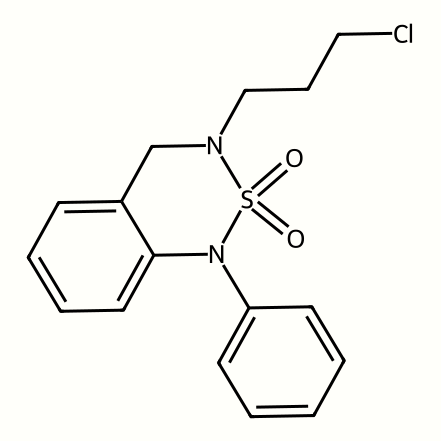 O=S1(=O)N(CCCCl)Cc2ccccc2N1c1ccccc1